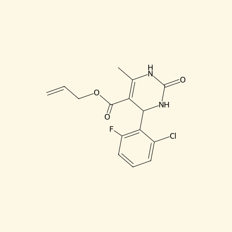 C=CCOC(=O)C1=C(C)NC(=O)NC1c1c(F)cccc1Cl